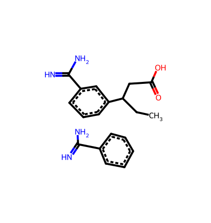 CCC(CC(=O)O)c1cccc(C(=N)N)c1.N=C(N)c1ccccc1